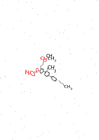 C=C(C)C(=O)OCCCc1cc(-c2ccc(-c3ccc(CCCCC)cc3)cc2CC)ccc1OCCO